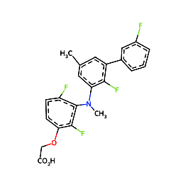 Cc1cc(-c2cccc(F)c2)c(F)c(N(C)c2c(F)ccc(OCC(=O)O)c2F)c1